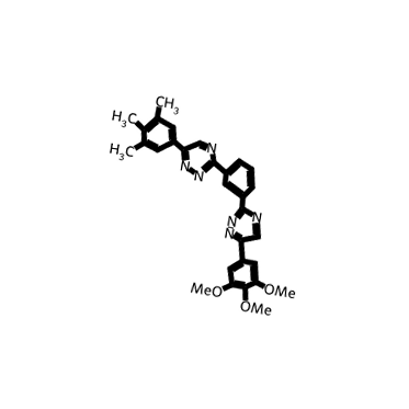 COc1cc(-c2cnc(-c3cccc(-c4ncc(-c5cc(C)c(C)c(C)c5)nn4)c3)nn2)cc(OC)c1OC